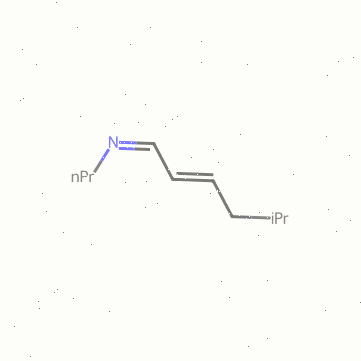 CCC/N=C\C=C\CC(C)C